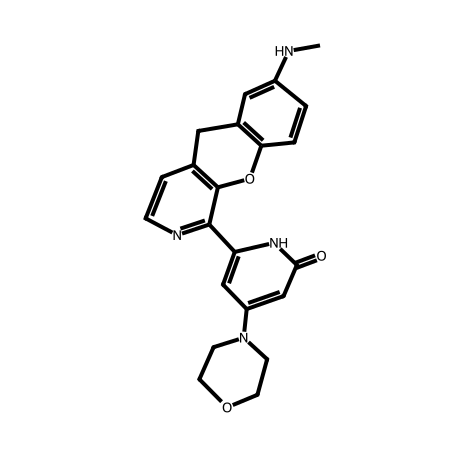 CNc1ccc2c(c1)Cc1ccnc(-c3cc(N4CCOCC4)cc(=O)[nH]3)c1O2